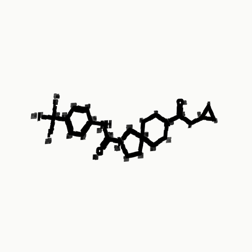 O=C(CC1CC1)N1CCC2(CC1)CCN(C(=O)Nc1ccc(C(F)(F)F)cc1)C2